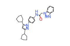 O=C(Cn1nnc2ccccc21)Nc1ccc(-n2nc(C3CCCCC3)cc2C2CCCCC2)cc1